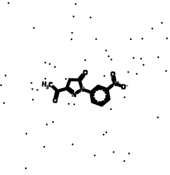 CC(=O)C1=NN(c2cccc([N+](=O)[O-])c2)C(=O)C1